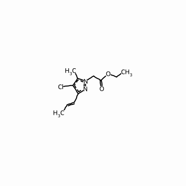 C/C=C/c1nn(CC(=O)OCC)c(C)c1Cl